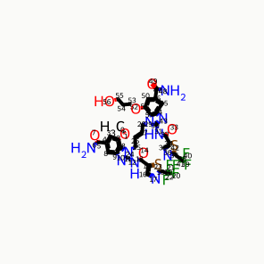 COc1cc(C(N)=O)cc2nc(NC(=O)c3cnc(C(F)(F)F)s3)n(C/C=C/Cn3c(NC(=O)c4cnc(C(F)(F)F)s4)nc4cc(C(N)=O)cc(OCCCO)c43)c12